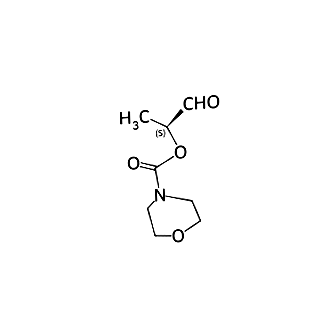 C[C@@H](C=O)OC(=O)N1CCOCC1